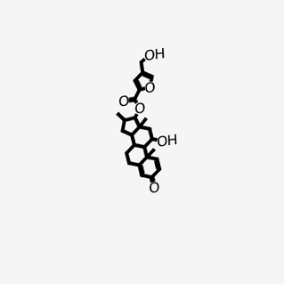 CC1CC2C3CCC4=CC(=O)C=CC4(C)C3C(O)CC2(C)C1OC(=O)c1cc(CO)co1